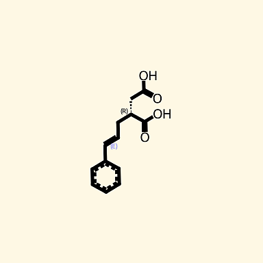 O=C(O)C[C@@H](C/C=C/c1ccccc1)C(=O)O